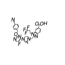 C[C@H]1CN(c2nc(OCc3ccc(C#N)cc3)ncc2F)CCN1Cc1nc2ccc(C(=O)O)cc2n1CCC(F)(F)F